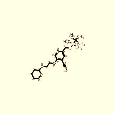 CC(C)(C)[Si](C)(C)OCc1cc(C#N)c(OCCOC2CCCCO2)cn1